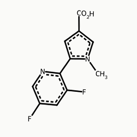 Cn1cc(C(=O)O)cc1-c1ncc(F)cc1F